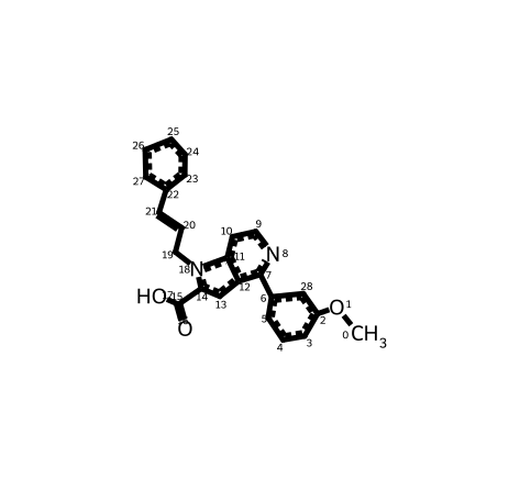 COc1cccc(-c2nccc3c2cc(C(=O)O)n3CC=Cc2ccccc2)c1